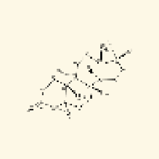 CC(=O)[C@@]1(O)CC[C@H]2[C@@H]3CCC45OC4C(=O)CC[C@]5(C)[C@H]3CC[C@@]21C